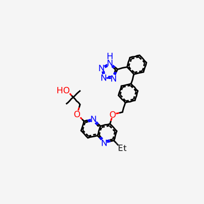 CCc1cc(OCc2ccc(-c3ccccc3-c3nnn[nH]3)cc2)c2nc(OCC(C)(C)O)ccc2n1